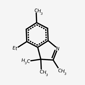 CCc1cc(C)cc2c1C(C)(C)C(C)=N2